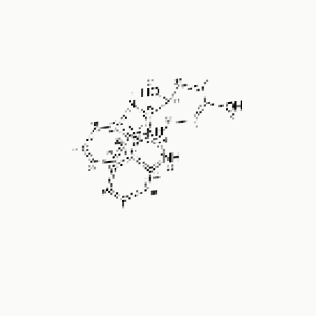 OC1=CC(c2nc3ccccc3[nH]2)C(O)(c2nc3ccccc3[nH]2)C=C1